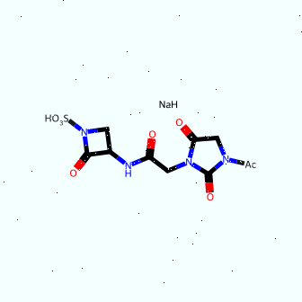 CC(=O)N1CC(=O)N(CC(=O)NC2CN(S(=O)(=O)O)C2=O)C1=O.[NaH]